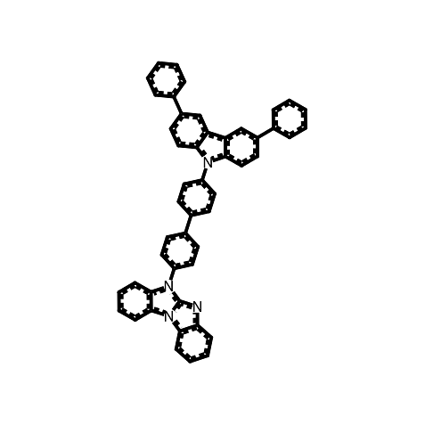 c1ccc(-c2ccc3c(c2)c2cc(-c4ccccc4)ccc2n3-c2ccc(-c3ccc(-n4c5ccccc5n5c6ccccc6nc45)cc3)cc2)cc1